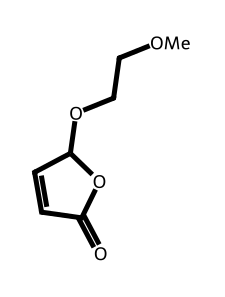 COCCOC1C=CC(=O)O1